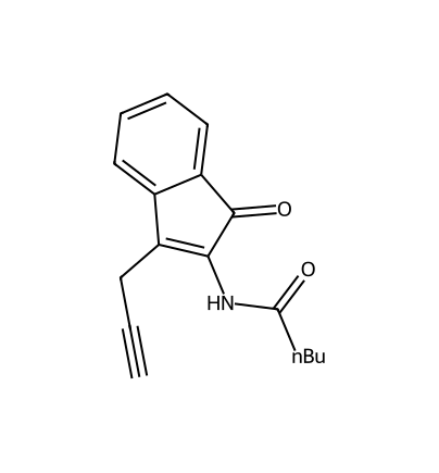 C#CCC1=C(NC(=O)CCCC)C(=O)c2ccccc21